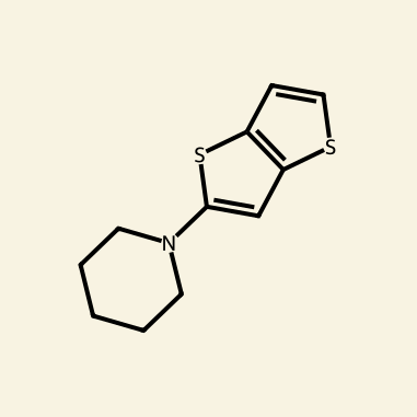 c1cc2sc(N3CCCCC3)cc2s1